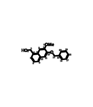 COc1cc2c(CO)cccc2cc1OCc1ccccc1